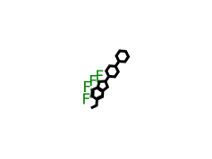 CCc1cc2c(c(F)c1F)C(F)(F)C(C1CCC(C3CCCCC3)CC1)C2